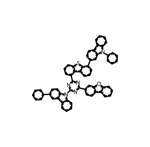 c1ccc(-c2ccc3c(c2)c2ccccc2n3-c2nc(-c3ccc4c(c3)oc3ccccc34)nc(-c3cccc4sc5c(-c6ccc7c8ccccc8n(-c8ccccc8)c7c6)cccc5c34)n2)cc1